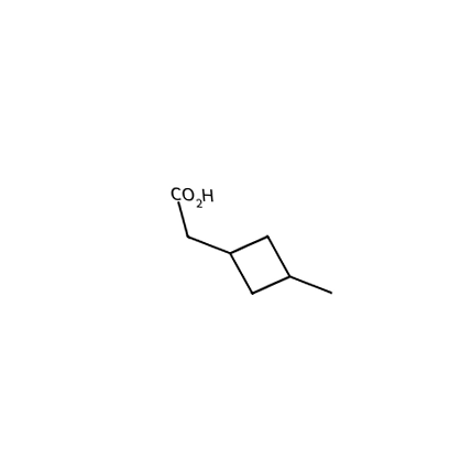 CC1CC(CC(=O)O)C1